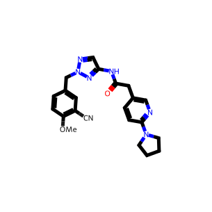 COc1ccc(Cn2ncc(NC(=O)Cc3ccc(N4CCCC4)nc3)n2)cc1C#N